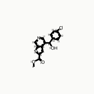 COC(=O)c1cc2c(C(O)c3ccc(Cl)cc3)cncc2s1